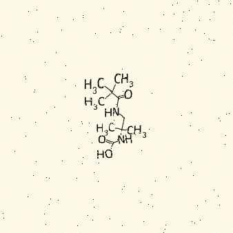 CC(C)(CNC(=O)C(C)(C)C)NC(=O)O